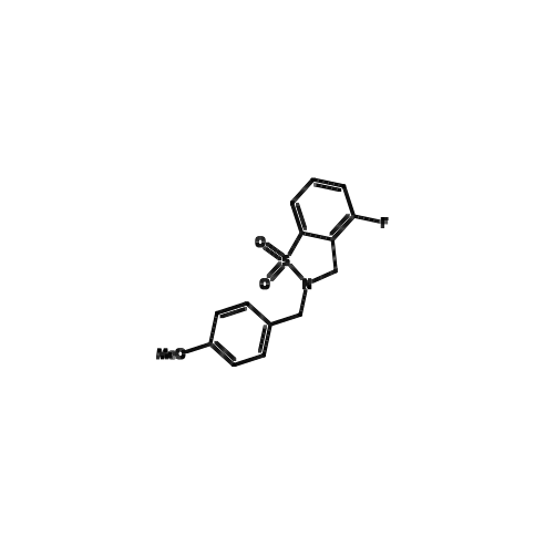 COc1ccc(CN2Cc3c(F)cccc3S2(=O)=O)cc1